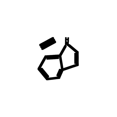 C#C.c1ccc2[nH]ccc2c1